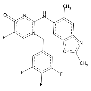 Cc1nc2cc(C)c(Nc3nc(=O)c(F)cn3Cc3cc(F)c(F)c(F)c3)cc2o1